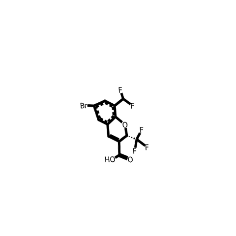 O=C(O)C1=Cc2cc(Br)cc(C(F)F)c2O[C@@H]1C(F)(F)F